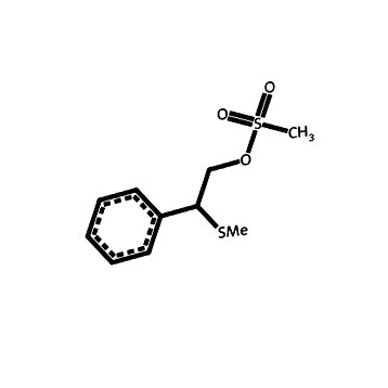 CSC(COS(C)(=O)=O)c1ccccc1